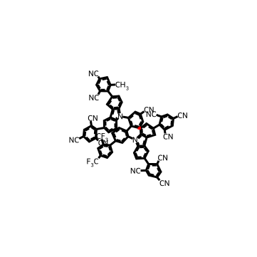 Cc1cc(C#N)cc(C#N)c1-c1ccc2c(c1)c1cc(-c3c(C#N)cc(C#N)cc3C#N)ccc1n2-c1cc(C#N)ccc1-c1ccc(-c2ccc(C(F)(F)F)cc2C(F)(F)F)cc1-n1c2ccc(-c3c(C#N)cc(C#N)cc3C#N)cc2c2cc(-c3c(C#N)cc(C#N)cc3C#N)ccc21